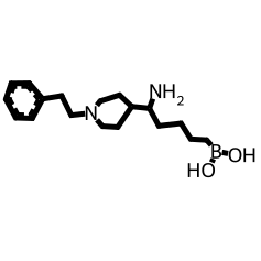 NC(CCCCB(O)O)C1CCN(CCc2ccccc2)CC1